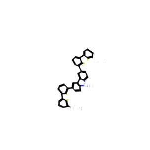 CCCCc1cccc2c1sc1c(-c3ccc4[nH]c5ccc(-c6cccc7c6sc6c(CCCC)cccc67)cc5c4c3)cccc12